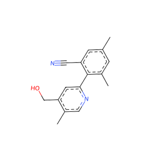 Cc1cc(C)c(-c2cc(CO)c(C)cn2)c(C#N)c1